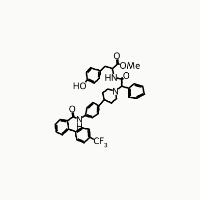 COC(=O)C(Cc1ccc(O)cc1)NC(=O)C(c1ccccc1)N1CCC(c2ccc(NC(=O)c3ccccc3-c3ccc(C(F)(F)F)cc3)cc2)CC1